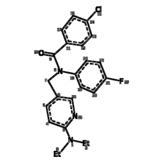 CCN(CC)c1ccc(CN(C(=O)c2ccc(Cl)cc2)c2ccc(F)cc2)cn1